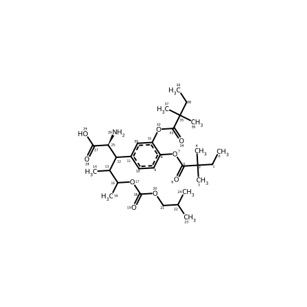 CCC(C)(C)C(=O)Oc1ccc(C(C(C)C(C)OC(=O)OCC(C)C)[C@H](N)C(=O)O)cc1OC(=O)C(C)(C)CC